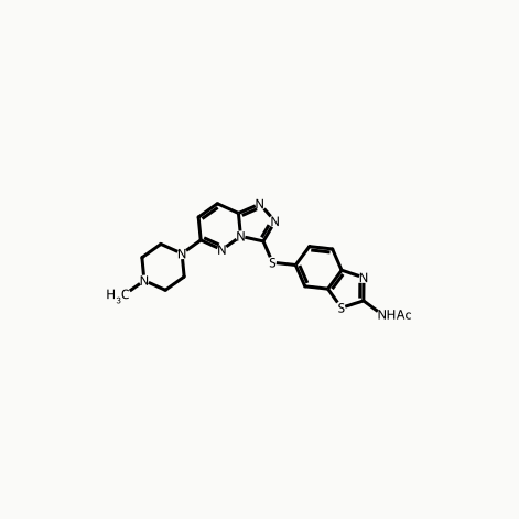 CC(=O)Nc1nc2ccc(Sc3nnc4ccc(N5CCN(C)CC5)nn34)cc2s1